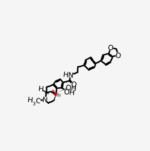 CN1CC[C@]23C[C@@H](O)C=CC2[C@H]1Cc1ccc(C(=O)NCCc2ccc(-c4ccc5c(c4)OCO5)cc2)c(O)c13